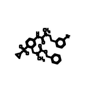 CN(CCc1cccc(Br)c1)C(=O)Nc1ccc(S(=O)(=O)C2CC2)c(CN(C)C(=O)OCc2ccccc2)c1